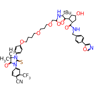 CC(C)(C)[C@H](NC(=O)COCCCOCCCCOc1ccc(N2C(=S)N(c3ccc(C#N)c(C(F)(F)F)c3)C(=O)C2(C)C)cc1)C(=O)C1C[C@H](O)C[C@H]1C(=O)NCc1ccc(-c2cnco2)cc1